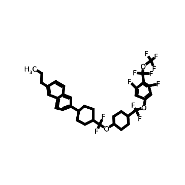 CCCc1ccc2cc(C3CCC(C(F)(F)OC4CCC(C(F)(F)Oc5cc(F)c(C(F)(F)OC(F)(F)F)c(F)c5)CC4)CC3)ccc2c1